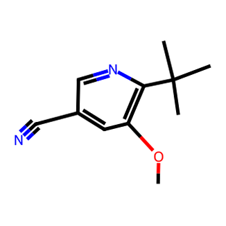 COc1cc(C#N)cnc1C(C)(C)C